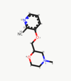 CN1CCOC(COc2cccnc2C#N)C1